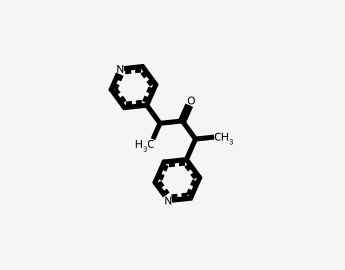 CC(C(=O)C(C)c1ccncc1)c1ccncc1